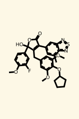 COc1ccc(C2(O)OC(=O)C(c3cc(C)c4nsnc4c3)=C2Cc2cc(OC)c(OC3CCCC3)c(OC)c2)cc1F